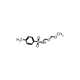 COCOCNS(=O)(=O)c1ccc(C)cc1